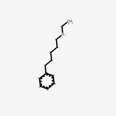 [CH2]COCCCCCc1ccccc1